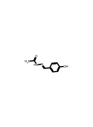 NC(=O)NN=Cc1ccc(O)cc1